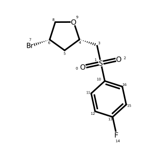 O=S(=O)(C[C@@H]1C[C@H](Br)CO1)c1ccc(F)cc1